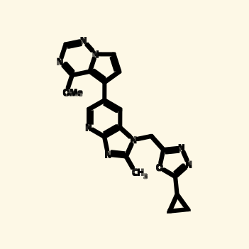 COc1ncnn2ccc(-c3cnc4nc(C)n(Cc5nnc(C6CC6)o5)c4c3)c12